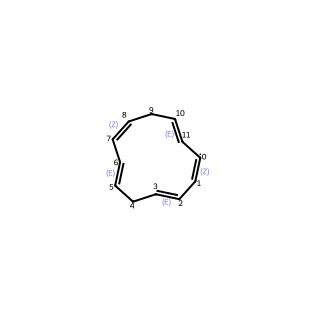 [C]1=C\C=C\C/C=C/C=C\C/C=C/1